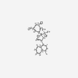 Cc1ccc(C2=NOC(c3cc(Cl)cc(Cl)c3)(C(F)(F)F)C2)c2ccccc12